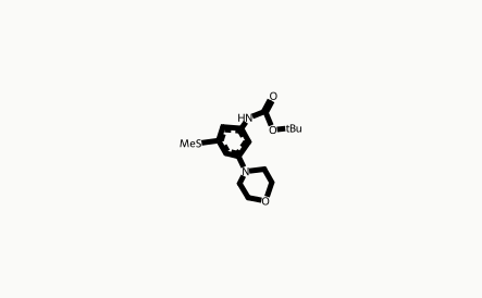 CSc1cc(NC(=O)OC(C)(C)C)cc(N2CCOCC2)c1